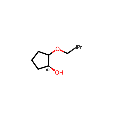 CC(C)COC1CCC[C@@H]1O